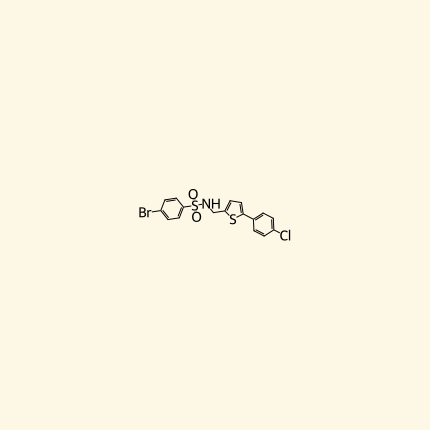 O=S(=O)(NCc1ccc(-c2ccc(Cl)cc2)s1)c1ccc(Br)cc1